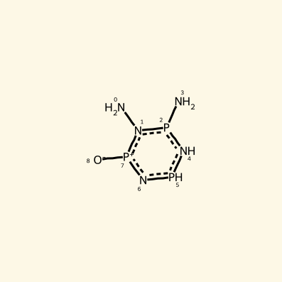 Nn1p(N)[nH][pH]n[p+]1[O-]